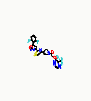 O=C(COc1nccnc1C(F)(F)F)N1CCC(c2csc(C3=NOC(c4c(F)cccc4F)C3)n2)CC1